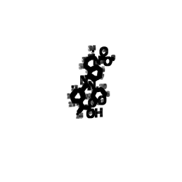 COC(=O)N1c2ccc3c(nc(-c4cccc(C(C)C(=O)O)c4)n3C3CCOCC3)c2CC[C@@H]1C